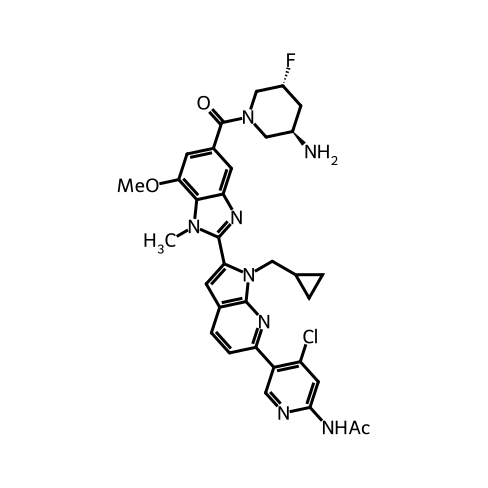 COc1cc(C(=O)N2C[C@H](N)C[C@@H](F)C2)cc2nc(-c3cc4ccc(-c5cnc(NC(C)=O)cc5Cl)nc4n3CC3CC3)n(C)c12